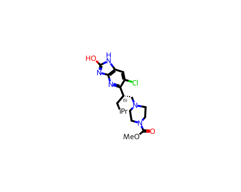 COC(=O)N1CCN(C[C@H](CC(C)C)c2nc3nc(O)[nH]c3cc2Cl)CC1